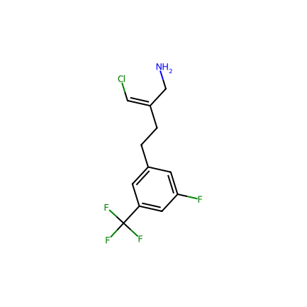 NCC(=CCl)CCc1cc(F)cc(C(F)(F)F)c1